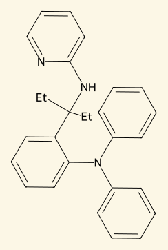 CCC(CC)(Nc1ccccn1)c1ccccc1N(c1ccccc1)c1ccccc1